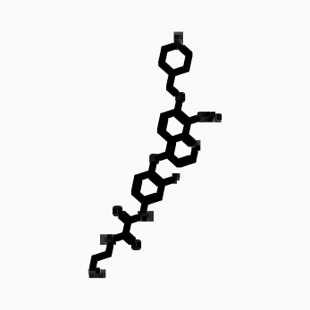 COc1c(OCC2CCNCC2)ccc2c(Oc3ccc(NC(=O)C(=O)NCCC(C)(C)C)cc3F)ccnc12